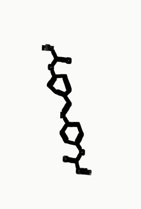 CCCCC(=O)Oc1ccc(C=Nc2ccc(OC(=O)OC)cc2)cc1